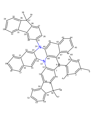 Cc1cc(C)c(B2c3cc4c(cc3N3c5cc6ccccc6cc5N(c5ccc6c(c5)-c5ccccc5C6(C)C)c5cc6ccccc6c2c53)-c2ccccc2C4(C)C)c(C)c1